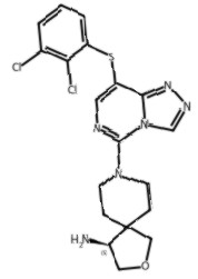 N[C@@H]1COCC12CCN(c1ncc(Sc3cccc(Cl)c3Cl)c3nncn13)CC2